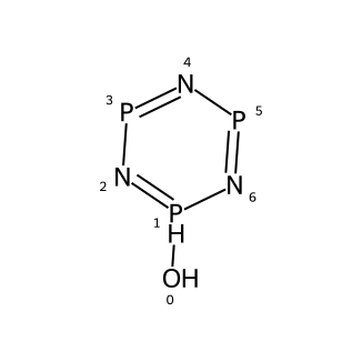 O[PH]1=NP=NP=N1